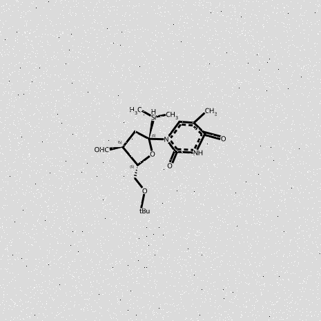 Cc1cn([C@@]2([SiH](C)C)C[C@H](C=O)[C@@H](COC(C)(C)C)O2)c(=O)[nH]c1=O